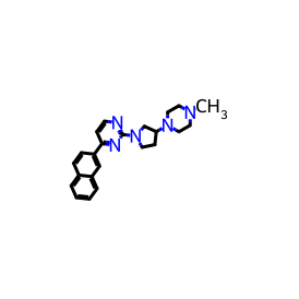 CN1CCN(C2CCN(c3nccc(-c4ccc5ccccc5c4)n3)C2)CC1